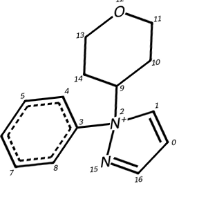 C1=C[N+](c2ccccc2)(C2CCOCC2)N=C1